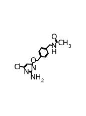 CC(=O)NCc1ccc(COc2cc(Cl)nc(N)n2)cc1